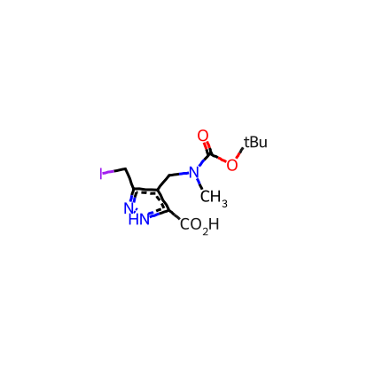 CN(Cc1c(CI)n[nH]c1C(=O)O)C(=O)OC(C)(C)C